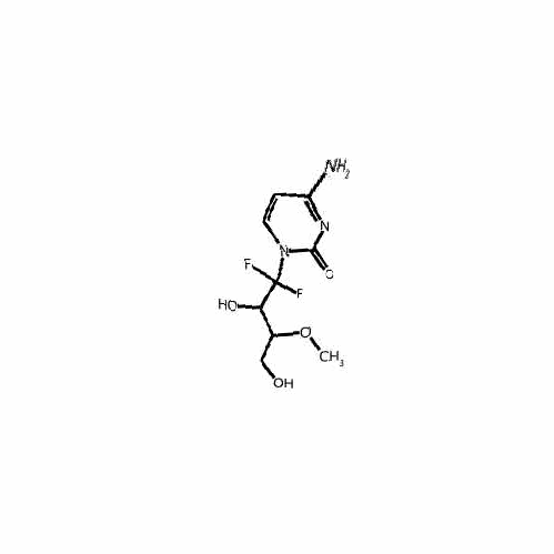 COC(CO)C(O)C(F)(F)n1ccc(N)nc1=O